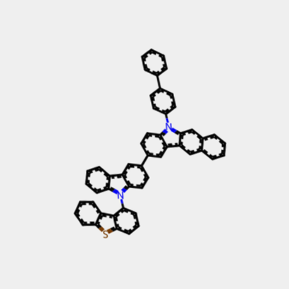 c1ccc(-c2ccc(-n3c4ccc(-c5ccc6c(c5)c5ccccc5n6-c5cccc6sc7ccccc7c56)cc4c4cc5ccccc5cc43)cc2)cc1